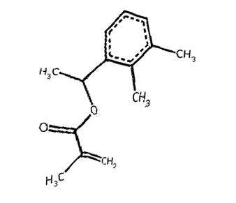 C=C(C)C(=O)OC(C)c1cccc(C)c1C